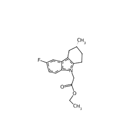 CCOC(=O)Cn1c2c(c3cc(F)ccc31)C[C@H](C)CC2